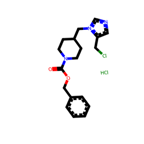 Cl.O=C(OCc1ccccc1)N1CCC(Cn2cncc2CCl)CC1